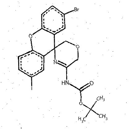 CC(C)(C)OC(=O)NC1=NC2(COC1)c1cc(Br)ccc1Oc1ccc(I)cc12